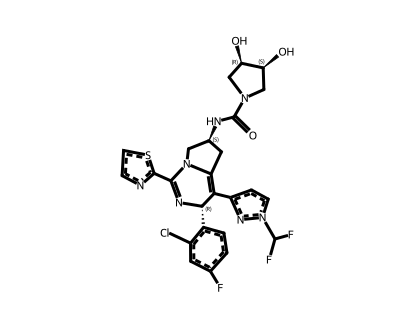 O=C(N[C@H]1CC2=C(c3ccn(C(F)F)n3)[C@H](c3ccc(F)cc3Cl)N=C(c3nccs3)N2C1)N1C[C@@H](O)[C@@H](O)C1